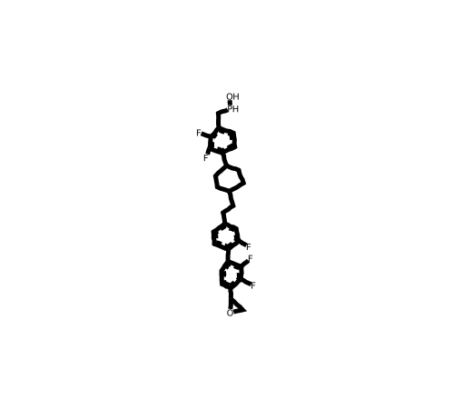 OPCc1ccc(C2CCC(CCc3ccc(-c4ccc(C5CO5)c(F)c4F)c(F)c3)CC2)c(F)c1F